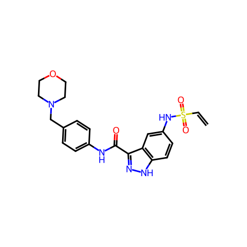 C=CS(=O)(=O)Nc1ccc2[nH]nc(C(=O)Nc3ccc(CN4CCOCC4)cc3)c2c1